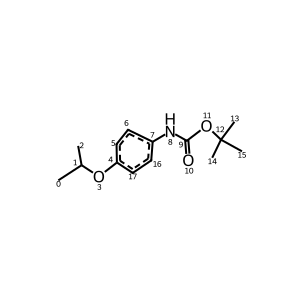 CC(C)Oc1ccc(NC(=O)OC(C)(C)C)cc1